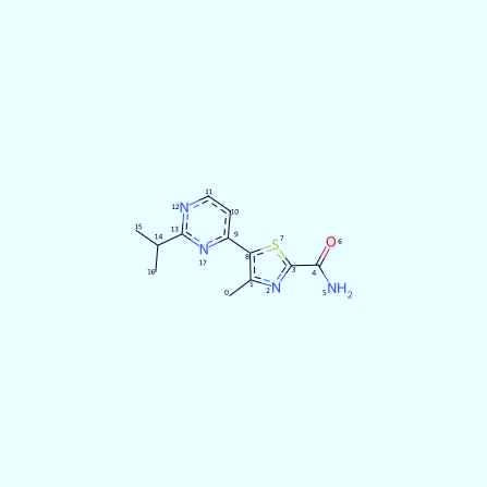 Cc1nc(C(N)=O)sc1-c1ccnc(C(C)C)n1